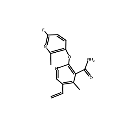 C=Cc1cnc(Oc2ccc(F)nc2C)c(C(N)=O)c1C